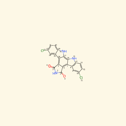 O=C1NC(=O)c2c1c1c3cc(Cl)ccc3[nH]c1c1[nH]c3ccc(Cl)cc3c21